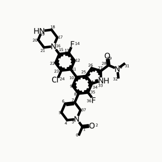 CC(=O)N1CCC=C(c2cc(-c3cc(F)c(N4CCNCC4)cc3Cl)c3cc(C(=O)N(C)C)[nH]c3c2F)C1